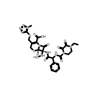 CCN1CCN(C(=O)NC(C(=O)N[C@]2(NO)C(=O)N3C(C(=O)O)=C(CSc4nnnn4C)CS[C@H]32)c2ccccc2)C(=O)C1=O